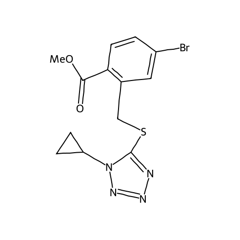 COC(=O)c1ccc(Br)cc1CSc1nnnn1C1CC1